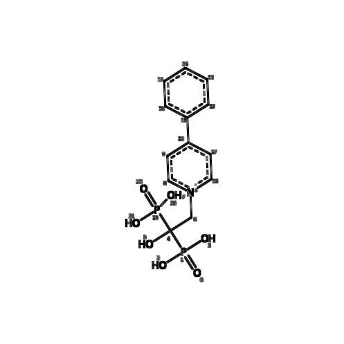 O=P(O)(O)C(O)(C[n+]1ccc(-c2ccccc2)cc1)P(=O)(O)O